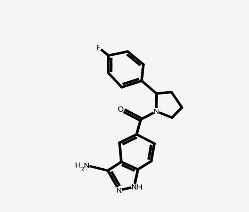 Nc1n[nH]c2ccc(C(=O)N3CCCC3c3ccc(F)cc3)cc12